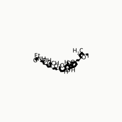 C=C1C[C@H](CC[C@]23CC4OC5(O2)C2C(O[C@H]6CC[C@H](CC(=O)C[C@@H]7C[C@@H](C[C@H](O)CNC(=O)CC)O[C@H]7C)COC6[C@@H]2O3)[C@H]45)O[C@H]1CI